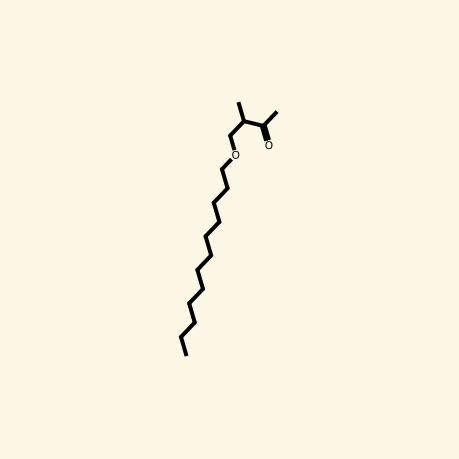 CCCCCCCCCCCCOCC(C)C(C)=O